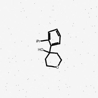 CC(C)c1ccccc1C1(O)CCOCC1